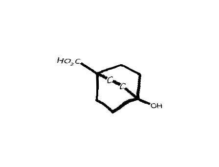 O=C(O)C12CCC(O)(CC1)CC2